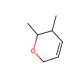 CC1C=CCOC1C